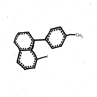 Cc1ccc(-c2cccc3cccc(I)c23)cc1